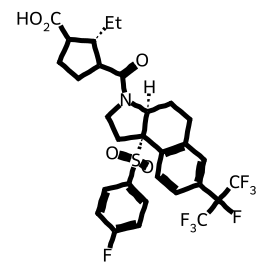 CC[C@H]1C(C(=O)O)CCC1C(=O)N1CC[C@]2(S(=O)(=O)c3ccc(F)cc3)c3ccc(C(F)(C(F)(F)F)C(F)(F)F)cc3CC[C@H]12